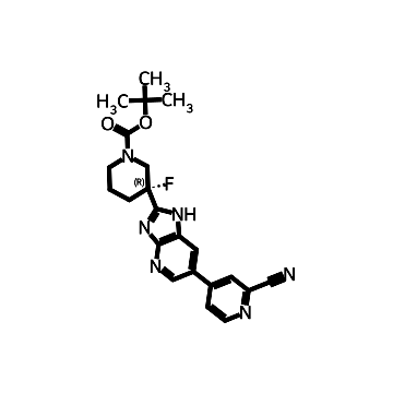 CC(C)(C)OC(=O)N1CCC[C@](F)(c2nc3ncc(-c4ccnc(C#N)c4)cc3[nH]2)C1